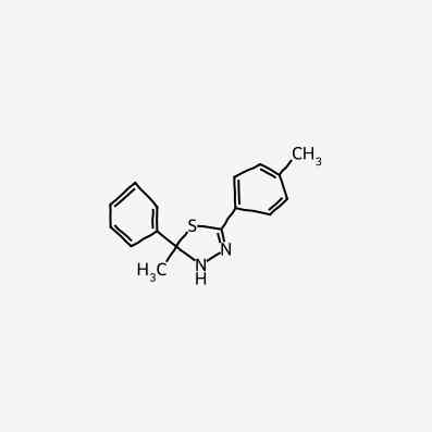 Cc1ccc(C2=NNC(C)(c3ccccc3)S2)cc1